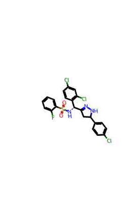 O=S(=O)(N[C@@H](C1=NNC(c2ccc(Cl)cc2)C1)c1ccc(Cl)cc1Cl)c1ccccc1F